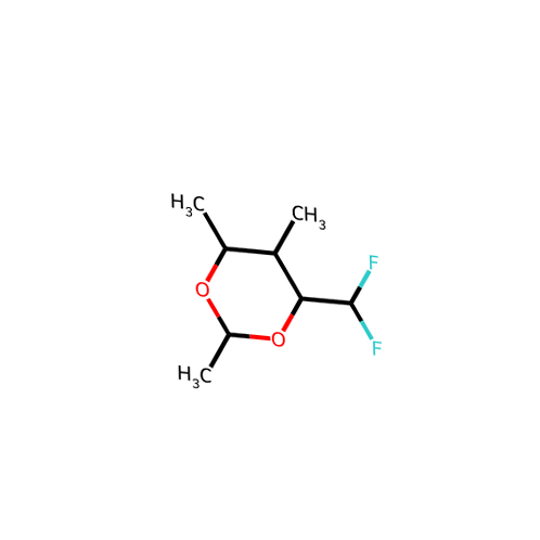 CC1OC(C)C(C)C(C(F)F)O1